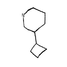 C1CC(C2CCC[N]C2)C1